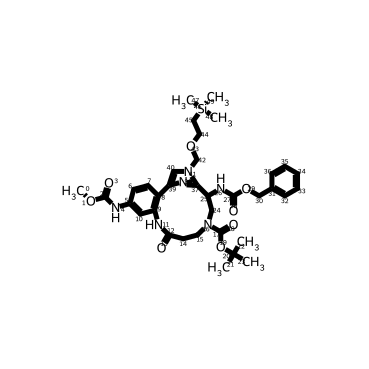 COC(=O)Nc1ccc2c(c1)NC(=O)CCN(C(=O)OC(C)(C)C)CC(NC(=O)OCc1ccccc1)c1nc-2cn1COCC[Si](C)(C)C